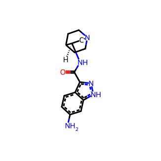 Nc1ccc2c(C(=O)N[C@@H]3CN4CCC3CC4)n[nH]c2c1